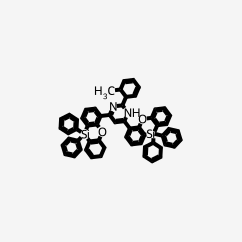 CC1C=CC=CC1C1N=C(c2cccc3c2OC2=C(C=CCC2)[Si]3(c2ccccc2)c2ccccc2)C=C(c2cccc3c2Oc2ccccc2[Si]3(c2ccccc2)C2C=CC=CC2)N1